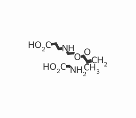 C=C(C)C(=O)OCCNCCC(=O)O.NCC(=O)O